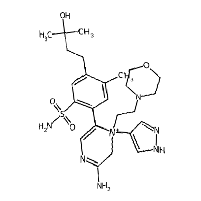 Cc1cc(C2=CN=C(N)C[N+]2(CCN2CCOCC2)c2cn[nH]c2)c(S(N)(=O)=O)cc1CCC(C)(C)O